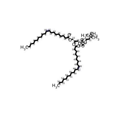 CCCCCCCCCC/C=C\CCCCCCCC(=O)OC[C@H](COP(=O)([O-])OCC[N+](C)(C)C)OC(=O)CCCCCCC/C=C\CCCCCCCCCC